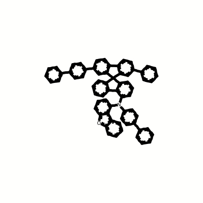 c1ccc(-c2ccc(-c3ccc4c(c3)C3(c5cc(-c6ccccc6)ccc5-4)c4ccccc4-c4c(N(c5ccc(-c6ccccc6)cc5)c5cccc6oc7ccccc7c56)cccc43)cc2)cc1